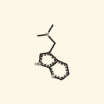 CN(C)Cc1c[nH]c2nc[c]cc12